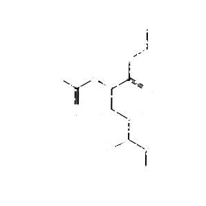 CCOC(=O)[C@H](NC(=O)O)[C@@H](O)[C@H](O)[C@H](O)CO